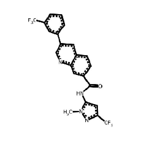 Cn1nc(C(F)(F)F)cc1NC(=O)c1ccc2cc(-c3cccc(C(F)(F)F)c3)cnc2c1